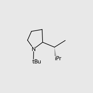 CC(C)[C@@H](C)C1CCCN1C(C)(C)C